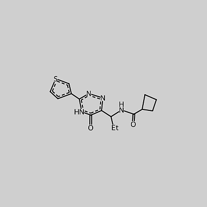 CCC(NC(=O)C1CCC1)c1nnc(-c2ccsc2)[nH]c1=O